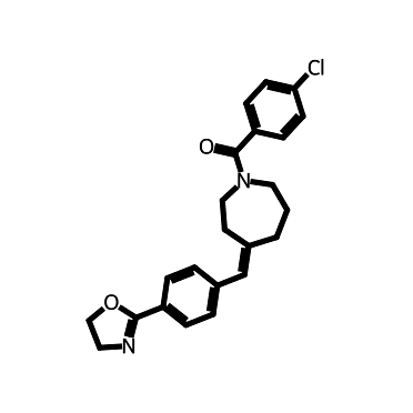 O=C(c1ccc(Cl)cc1)N1CCCC(=Cc2ccc(C3=NCCO3)cc2)CC1